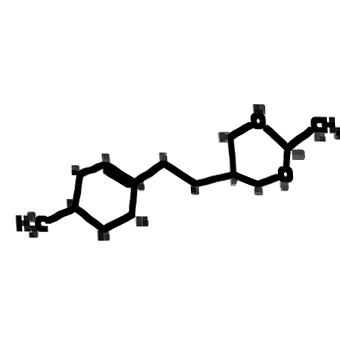 CC1CC=C(CCC2COC(C)OC2)CC1